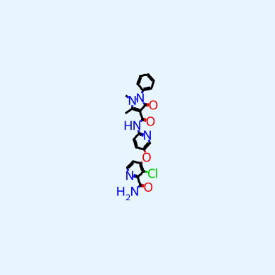 Cc1c(C(=O)Nc2ccc(Oc3ccnc(C(N)=O)c3Cl)cn2)c(=O)n(-c2ccccc2)n1C